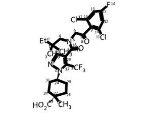 CCC(C)(C)CN(CC(=O)c1c(Cl)cc(F)cc1Cl)C(=O)c1cnn([C@H]2CC[C@](C)(C(=O)O)CC2)c1C(F)(F)F